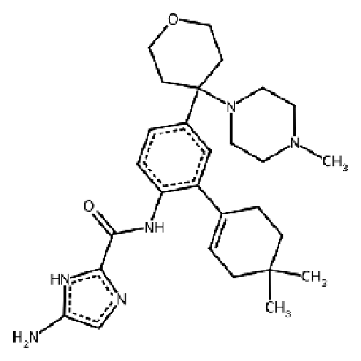 CN1CCN(C2(c3ccc(NC(=O)c4ncc(N)[nH]4)c(C4=CCC(C)(C)CC4)c3)CCOCC2)CC1